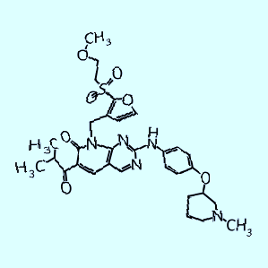 COCCS(=O)(=O)c1occc1Cn1c(=O)c(C(=O)C(C)C)cc2cnc(Nc3ccc(OC4CCCN(C)C4)cc3)nc21